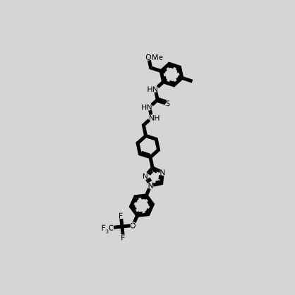 COCc1ccc(C)cc1NC(=S)NNCC1CC=C(c2ncn(-c3ccc(OC(F)(F)C(F)(F)F)cc3)n2)CC1